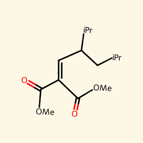 COC(=O)C(=CC(CC(C)C)C(C)C)C(=O)OC